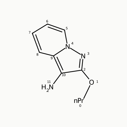 CCCOc1nn2ccccc2c1N